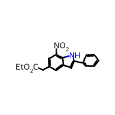 CCOC(=O)Cc1cc([N+](=O)[O-])c2[nH]c(-c3ccccc3)cc2c1